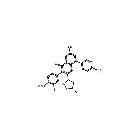 COc1ccc(-n2c([C@H]3C[C@H](F)CN3)nc3c(-c4ccc(C)nc4)cc(C#N)cc3c2=O)cc1F